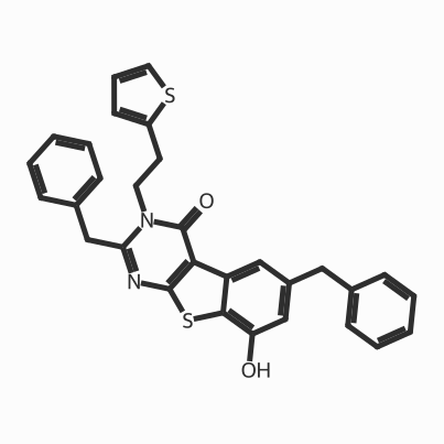 O=c1c2c(nc(Cc3ccccc3)n1CCc1cccs1)sc1c(O)cc(Cc3ccccc3)cc12